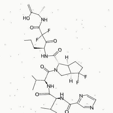 C=C(O)[C@H](C)NC(=O)C(F)(F)C(=O)[C@H](CCC)NC(=O)[C@@H]1[C@H]2CCC(F)(F)[C@H]2CN1C(=O)[C@@H](NC(=O)[C@@H](NC(=O)c1cnccn1)C(C)C)C(C)C